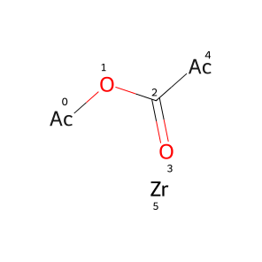 CC(=O)OC(=O)C(C)=O.[Zr]